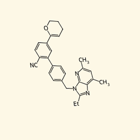 CCc1nc2c(C)cc(C)nc2n1Cc1ccc(-c2cc(C3=CCCCO3)ccc2C#N)cc1